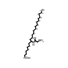 CCCCCCCCCCCCCCCCCC(CCCCCCCCCCCCCCC(C)C)NC(=O)CN